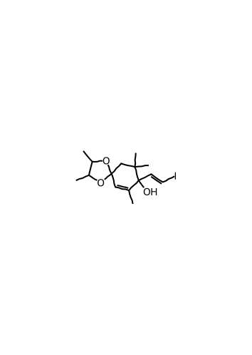 CC1=CC2(CC(C)(C)C1(O)C=CI)OC(C)C(C)O2